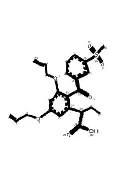 C=CCOc1cc(OCC=C)c(C(=O)c2cccc(S(C)(=O)=O)c2)c(C(CC)C(=O)O)c1